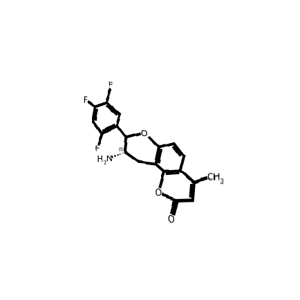 Cc1cc(=O)oc2c3c(ccc12)OC(c1cc(F)c(F)cc1F)[C@@H](N)C3